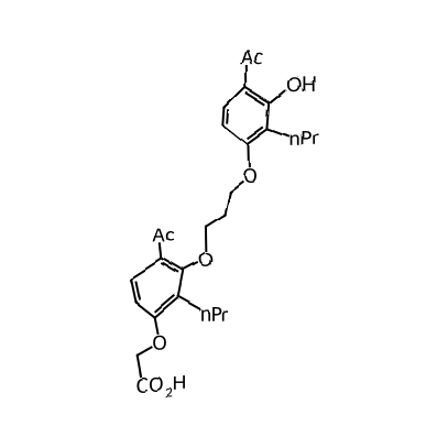 CCCc1c(OCCCOc2c(C(C)=O)ccc(OCC(=O)O)c2CCC)ccc(C(C)=O)c1O